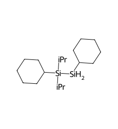 CC(C)[Si]([SiH2]C1CCCCC1)(C(C)C)C1CCCCC1